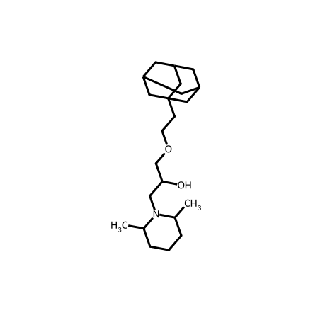 CC1CCCC(C)N1CC(O)COCCC12CC3CC(CC(C3)C1)C2